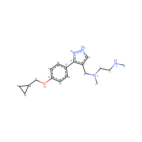 CNCCN(C)Cc1c[nH]nc1-c1ccc(OCC2CC2)cc1